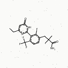 CCc1cc(=O)[nH]c(-c2c(C(F)(F)F)ccc(CC(C)(C)C(N)=O)c2F)n1